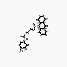 CCC(C)c1ccc(OC(C)OCCOC(C)c2c3ccccc3cc3ccccc23)cc1